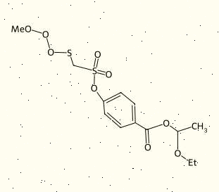 CCOC(C)OC(=O)c1ccc(OS(=O)(=O)CSOOOC)cc1